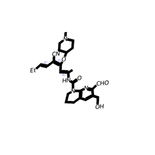 CC/C=C/C(C#N)=C(\C=C(/C)NC(=O)N1CCCc2cc(CO)c(C=O)nc21)OC1CCN(C)CC1